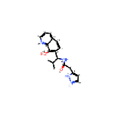 CC(C)C(NC(=O)Cc1ccn[nH]1)c1ccc2cccnc2c1O